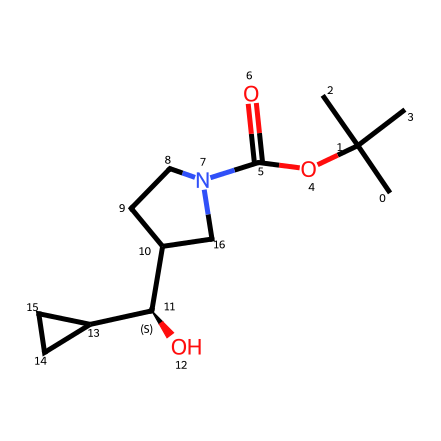 CC(C)(C)OC(=O)N1CCC([C@@H](O)C2CC2)C1